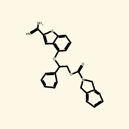 N=C(N)c1cc2c(OC(COC(=O)N3Cc4ccccc4C3)c3ccccc3)cccc2s1